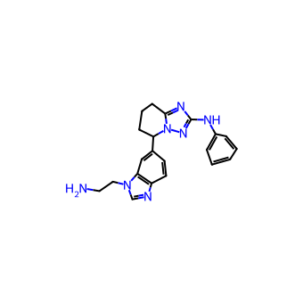 NCCn1cnc2ccc(C3CCCc4nc(Nc5ccccc5)nn43)cc21